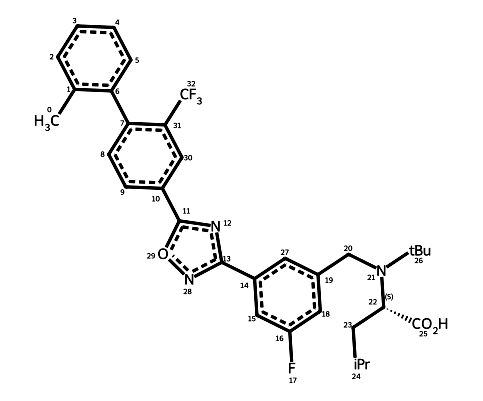 Cc1ccccc1-c1ccc(-c2nc(-c3cc(F)cc(CN([C@@H](CC(C)C)C(=O)O)C(C)(C)C)c3)no2)cc1C(F)(F)F